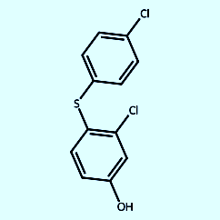 Oc1ccc(Sc2ccc(Cl)cc2)c(Cl)c1